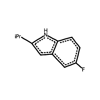 CC(C)c1cc2cc(F)ccc2[nH]1